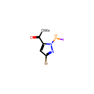 COC(=O)c1cc(Br)nn1PI